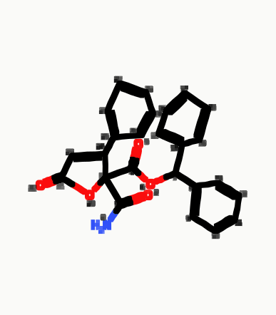 NC(=O)C1(C(=O)OC(c2ccccc2)c2ccccc2)OC(=O)C=C1c1ccccc1